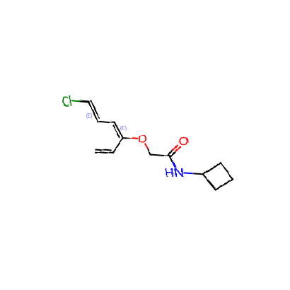 C=C/C(=C\C=C\Cl)OCC(=O)NC1CCC1